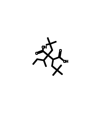 CCC(C)C(CC(C)(C)C)(C(=O)O)C(CC(C)(C)C)C(=O)O